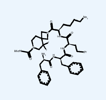 CNC(=O)N1CCC2(CN(C(=O)[C@@H](CCCCN)NC(=O)[C@@H](CCC(C)C)NC(=O)[C@@H](Cc3ccccc3)NC(=O)[C@H](N)Cc3ccccc3)C2)C(F)(F)C1